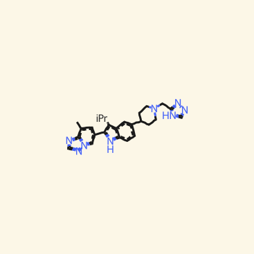 Cc1cc(-c2[nH]c3ccc(C4CCN(Cc5nnc[nH]5)CC4)cc3c2C(C)C)cn2ncnc12